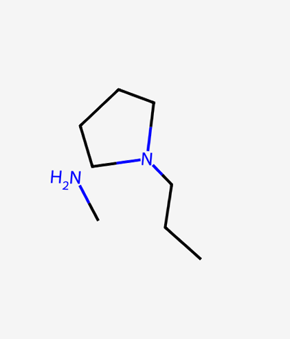 CCCN1CCCC1.CN